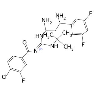 CC(C)(C)N/C(=N/C(=O)c1ccc(Cl)c(F)c1)NC(N)CC(N)c1cc(F)cc(F)c1